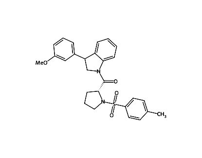 COc1cccc(C2CN(C(=O)[C@H]3CCCN3S(=O)(=O)c3ccc(C)cc3)c3ccccc32)c1